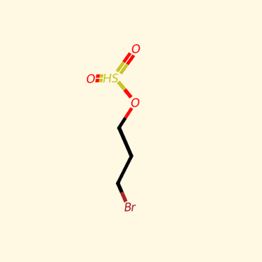 O=[SH](=O)OCCCBr